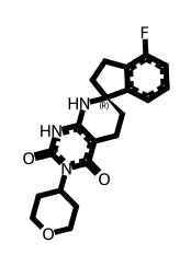 O=c1[nH]c2c(c(=O)n1C1CCOCC1)CC[C@]1(CCc3c(F)cccc31)N2